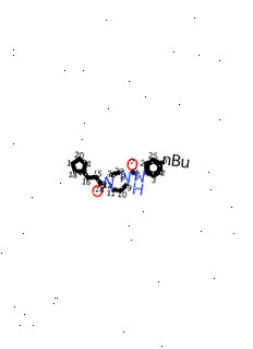 CCCCc1ccc(NC(=O)N2CCCN(C(=O)CCC3CCCC3)CC2)cc1